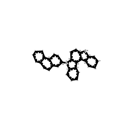 c1ccc2c(c1)ccc1cc(-n3c4ccccc4c4c5c(ccc43)sc3ccccc35)ccc12